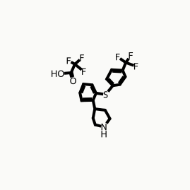 FC(F)(F)c1ccc(Sc2ccccc2C2CCNCC2)cc1.O=C(O)C(F)(F)F